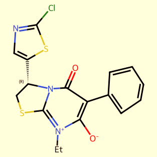 CC[n+]1c([O-])c(-c2ccccc2)c(=O)n2c1SC[C@@H]2c1cnc(Cl)s1